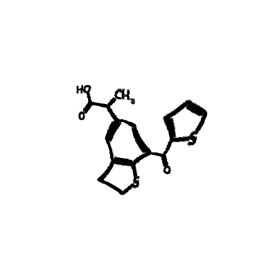 CC(C(=O)O)c1cc2c(c(C(=O)c3cccs3)c1)SCC2